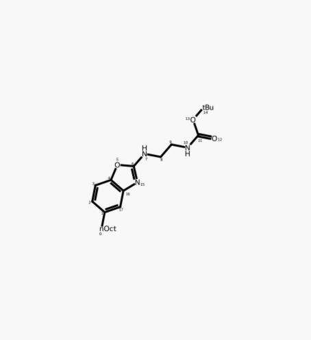 CCCCCCCCc1ccc2oc(NCCNC(=O)OC(C)(C)C)nc2c1